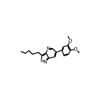 CCCCCc1snc2cc(-c3ccc(OC)c(OC)c3)cnc12